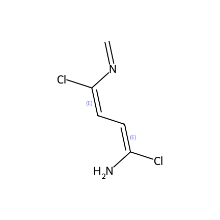 C=N/C(Cl)=C\C=C(/N)Cl